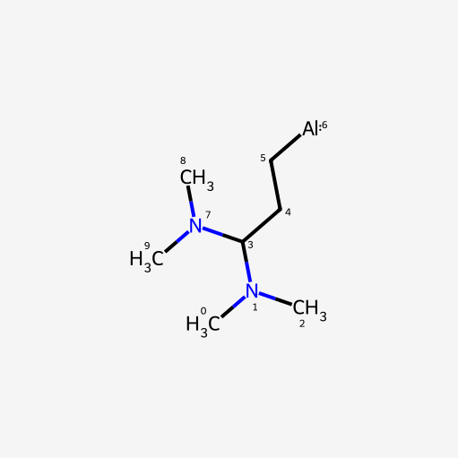 CN(C)C(C[CH2][Al])N(C)C